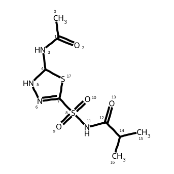 CC(=O)NC1NN=C(S(=O)(=O)NC(=O)C(C)C)S1